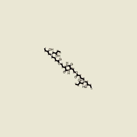 CCC(O)CN(CCCC(=O)OCCC1NC(=O)C(CCOC(=O)CCCN(CC(O)CC)CC(O)CC)NC1=O)CC(O)CC